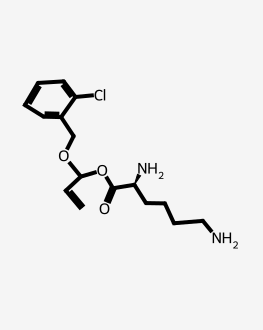 C=CC(OCc1ccccc1Cl)OC(=O)[C@@H](N)CCCCN